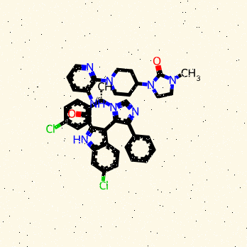 C[C@@H](c1ccc(Cl)cc1)n1cnc(-c2ccccc2)c1-c1c(C(=O)Nc2cccnc2N2CCC(N3CCN(C)C3=O)CC2)[nH]c2cc(Cl)ccc12